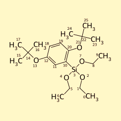 CCO[Si](OCC)(OCC)c1cc(OC(C)(C)C)ccc1OC(C)(C)C